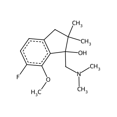 COc1c(F)ccc2c1C(O)(CN(C)C)C(C)(C)C2